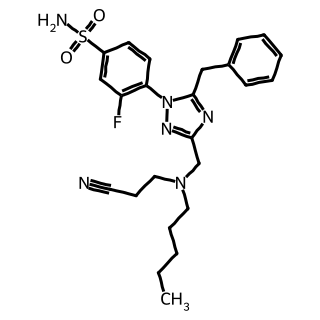 CCCCCN(CCC#N)Cc1nc(Cc2ccccc2)n(-c2ccc(S(N)(=O)=O)cc2F)n1